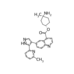 Cc1cccc(-c2[nH]ncc2-c2ccc3nccc(C(=O)O[C@H]4CC[C@](C)(N)CC4)c3c2)n1